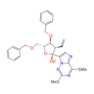 C=C[C@@H]1[C@H](OCc2ccccc2)[C@@H](COCc2ccccc2)O[C@@]1(O)c1cnc2c(SC)nc(SC)nn12